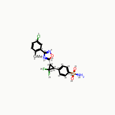 COc1ccc(Cl)cc1-c1noc([C@@H]2[C@@H](c3ccc(S(N)(=O)=O)cc3)C2(F)F)n1